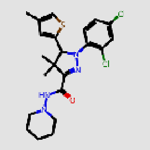 Cc1csc(C2N(c3ccc(Cl)cc3Cl)N=C(C(=O)NN3CCCCC3)C2(C)C)c1